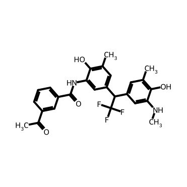 CNc1cc(C(c2cc(C)c(O)c(NC(=O)c3cccc(C(C)=O)c3)c2)C(F)(F)F)cc(C)c1O